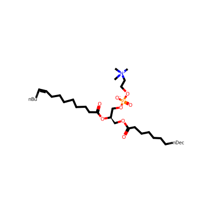 CCCC/C=C\CCCCCCCC(=O)O[C@H](COC(=O)CCCCCCCCCCCCCCCC)COP(=O)([O-])OCC[N+](C)(C)C